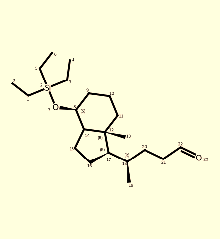 CC[Si](CC)(CC)O[C@H]1CCC[C@@]2(C)C1CC[C@@H]2[C@H](C)CCC=O